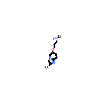 CCNCCCOc1ccc2nc(C)cn2c1